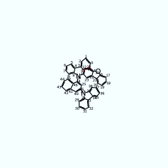 c1ccc(-c2ccccc2N(c2ccc3oc4ccccc4c3c2)c2cc(-n3c4ccccc4c4ccccc43)cc3ccccc23)cc1